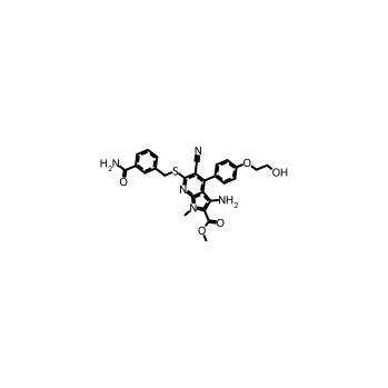 COC(=O)c1c(N)c2c(-c3ccc(OCCO)cc3)c(C#N)c(SCc3cccc(C(N)=O)c3)nc2n1C